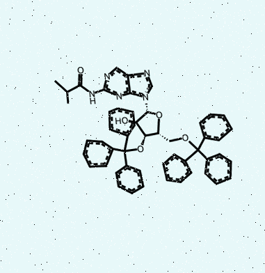 CC(C)C(=O)Nc1ncc2ncn([C@@H]3O[C@H](COC(c4ccccc4)(c4ccccc4)c4ccccc4)[C@@H](OC(c4ccccc4)(c4ccccc4)c4ccccc4)[C@H]3O)c2n1